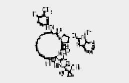 CC(C)n1c(O[C@@H]2C[C@H]3C(=O)N[C@]4(C(=O)NS(=O)(=O)C5(C)CC5)C[C@H]4/C=C\CCCCC[C@H](Nc4ccc(F)c(C(F)(F)F)c4)C(=O)N3C2)nc2cncnc21